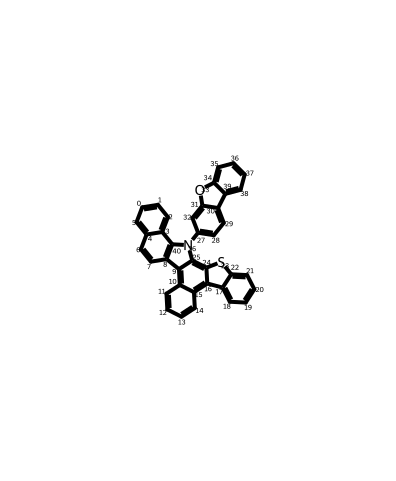 c1ccc2c(c1)ccc1c3c4ccccc4c4c5ccccc5sc4c3n(-c3ccc4c(c3)oc3ccccc34)c21